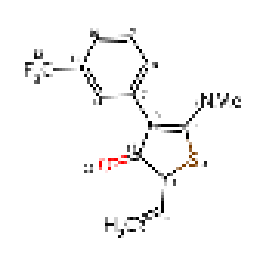 C=CC1SC(NC)=C(c2cccc(C(F)(F)F)c2)C1=O